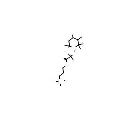 CCC1(C)CC(O)C(C)C(C)(CC)N1OC(C)(C)C(=O)NCCC[N+](C)(C)CC